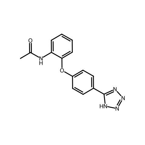 CC(=O)Nc1ccccc1Oc1ccc(-c2nnn[nH]2)cc1